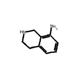 Nc1cccc2c1CNCC2